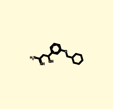 N=C(N)CC(O)c1cccc(OCC2CCCCC2)c1